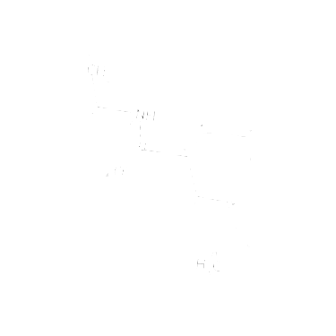 CCNC(=O)C1CCCC(CC)C1